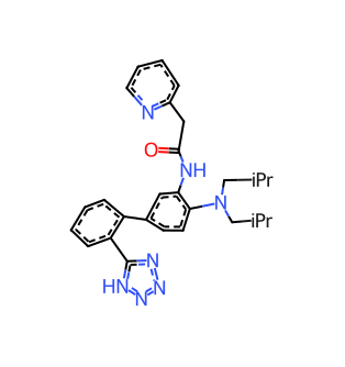 CC(C)CN(CC(C)C)c1ccc(-c2ccccc2-c2nnn[nH]2)cc1NC(=O)Cc1ccccn1